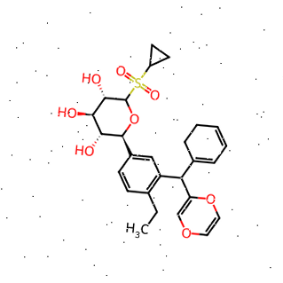 CCc1ccc([C@@H]2OC(S(=O)(=O)C3CC3)[C@@H](O)[C@H](O)[C@H]2O)cc1C(C1=CC=CCC1)C1=COC=CO1